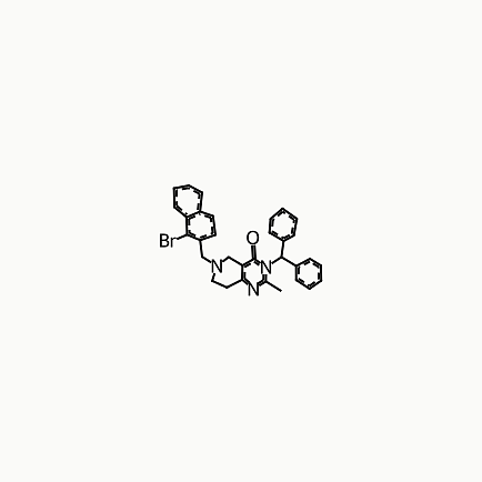 Cc1nc2c(c(=O)n1C(c1ccccc1)c1ccccc1)CN(Cc1ccc3ccccc3c1Br)CC2